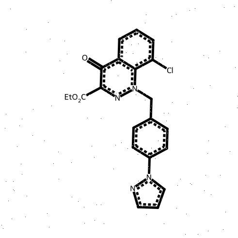 CCOC(=O)c1nn(Cc2ccc(-n3cccn3)cc2)c2c(Cl)cccc2c1=O